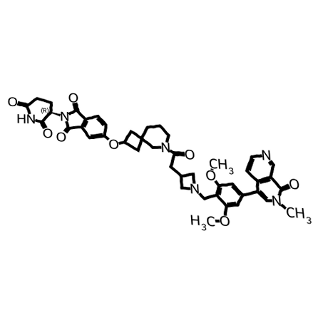 COc1cc(-c2cn(C)c(=O)c3cnccc23)cc(OC)c1CN1CC(CC(=O)N2CCCC3(CC(Oc4ccc5c(c4)C(=O)N([C@@H]4CCC(=O)NC4=O)C5=O)C3)C2)C1